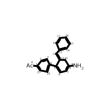 CC(=O)c1ccc(C2=CC=C(N)CC2=Cc2ccccc2)cc1